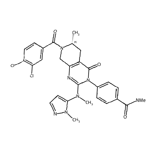 CNC(=O)c1ccc(-n2c(N(C)c3ccnn3C)nc3c(c2=O)C[C@@H](C)N(C(=O)c2ccc(Cl)c(Cl)c2)C3)cc1